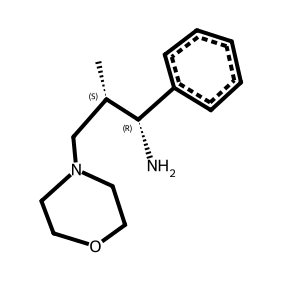 C[C@@H](CN1CCOCC1)[C@@H](N)c1ccccc1